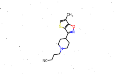 Cc1csc2c(C3CCN(CCCC#N)CC3)noc12